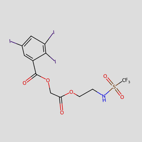 O=C(COC(=O)c1cc(I)cc(I)c1I)OCCNS(=O)(=O)C(F)(F)F